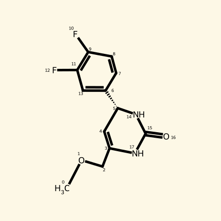 COCC1=C[C@H](c2ccc(F)c(F)c2)NC(=O)N1